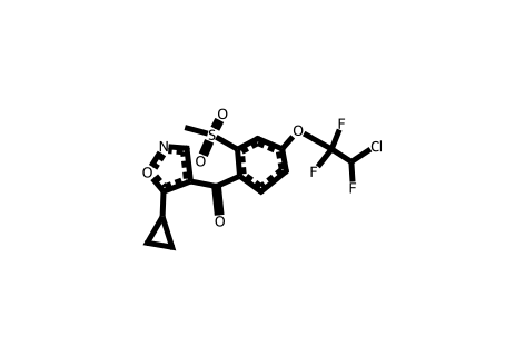 CS(=O)(=O)c1cc(OC(F)(F)C(F)Cl)ccc1C(=O)c1cnoc1C1CC1